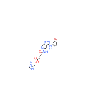 O=C(C=CCC(=O)OCCc1ncc[nH]1)Nc1cc2c(Nc3cccc(Br)c3)ncnc2cn1